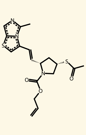 C=CCOC(=O)N1C[C@@H](SC(C)=O)C[C@H]1/C=C/c1csc2cnc(C)n12